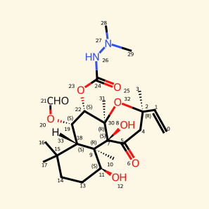 C=C[C@@]1(C)CC(=O)[C@]2(O)[C@@]3(C)[C@@H](O)CCC(C)(C)[C@@H]3[C@H](OC=O)[C@H](OC(=O)NN(C)C)[C@@]2(C)O1